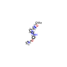 COC(=O)Cn1cc(-c2cccc3nc(Nc4ccc(OCCN5CCCC5)cc4)cn23)cn1